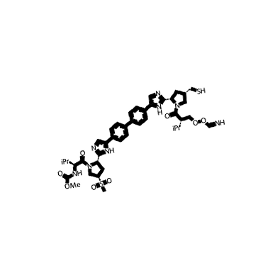 COC(=O)N[C@H](C(=O)N1C[C@@H](S(C)(=O)=O)C[C@H]1c1ncc(-c2ccc(-c3ccc(-c4cnc([C@@H]5C[C@H](CS)CN5C(=O)[C@H](COOC=N)C(C)C)[nH]4)cc3)cc2)[nH]1)C(C)C